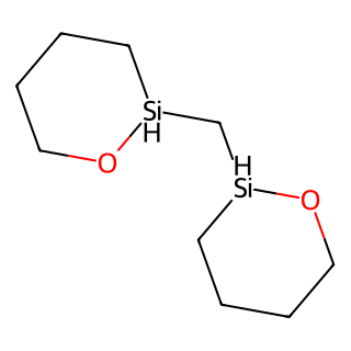 C1CC[SiH](C[SiH]2CCCCO2)OC1